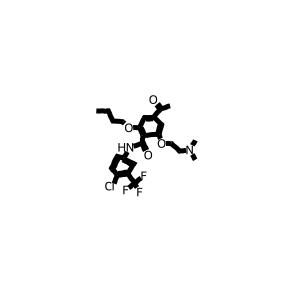 CCCCOc1cc(C(C)=O)cc(OCCN(C)C)c1C(=O)Nc1ccc(Cl)c(C(F)(F)F)c1